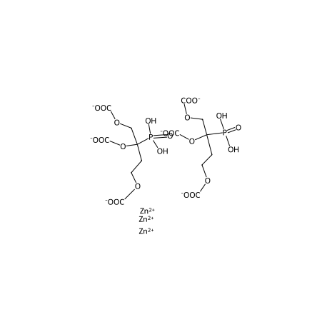 O=C([O-])OCCC(COC(=O)[O-])(OC(=O)[O-])P(=O)(O)O.O=C([O-])OCCC(COC(=O)[O-])(OC(=O)[O-])P(=O)(O)O.[Zn+2].[Zn+2].[Zn+2]